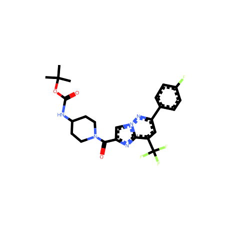 CC(C)(C)OC(=O)NC1CCN(C(=O)c2cn3nc(-c4ccc(F)cc4)cc(C(F)(F)F)c3n2)CC1